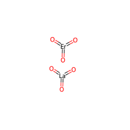 [O]=[Er](=[O])=[O].[O]=[La](=[O])=[O]